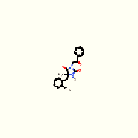 Cc1ccccc1CC1(C)C(=O)N(CC(=O)c2ccccc2)C(O)N1C